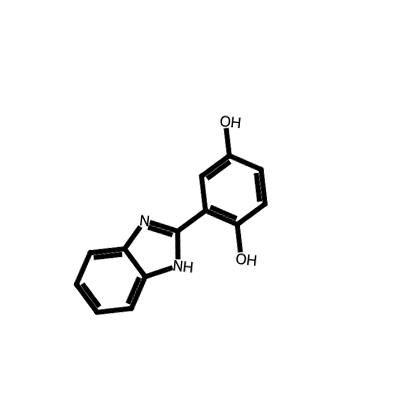 Oc1ccc(O)c(-c2nc3ccccc3[nH]2)c1